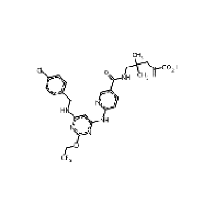 CC(C)(CNC(=O)O)CNC(=O)c1ccc(Nc2cc(NCc3ccc(Cl)cc3)nc(OCC(F)(F)F)n2)nc1